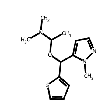 CC(OC(c1cccs1)c1ccnn1C)N(C)C